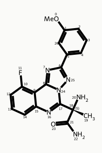 COc1cccc(-c2nc3c4c(F)cccc4nc([C@](C)(N)C(N)=O)n3n2)c1